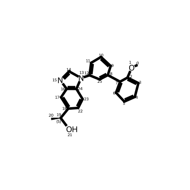 COc1ccccc1-c1cccc(-n2cnc3cc([C@H](C)O)ccc32)c1